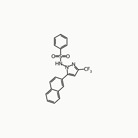 O=S(=O)(Nn1nc(C(F)(F)F)cc1-c1ccc2ccccc2c1)c1ccccc1